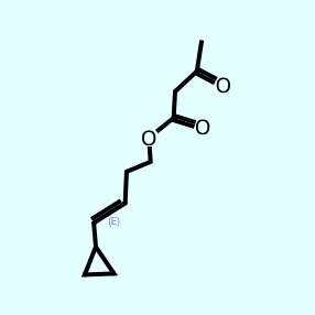 CC(=O)CC(=O)OCC/C=C/C1CC1